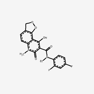 CCN(C(=O)c1c(O)c2c3c(ccc2n(C)c1=O)COO3)c1ccc(F)cc1F